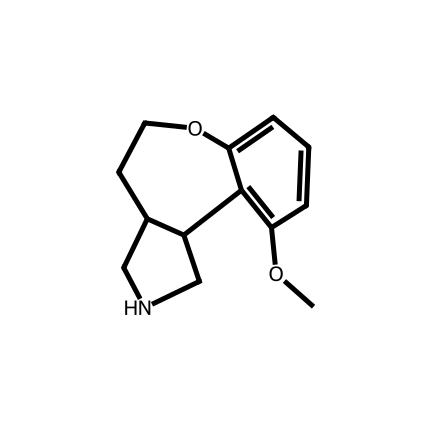 COc1cccc2c1C1CNCC1CCO2